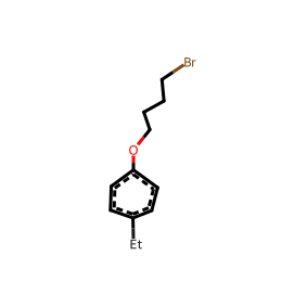 CCc1ccc(OCCCCBr)cc1